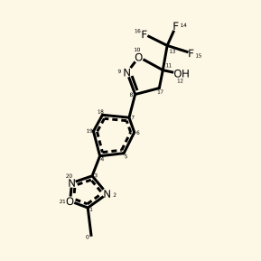 Cc1nc(-c2ccc(C3=NOC(O)(C(F)(F)F)C3)cc2)no1